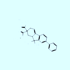 COC(=O)C1(C(=O)OC)CC=C2c3ccc(-c4ccccc4)cc3C(C)(C)C2C1